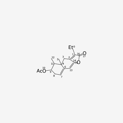 CCC1=C2CC3(C)C(=CCC(OC(C)=O)C3C)C=C2OC1=O